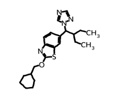 CCC(CC)C(c1ccc2nc(OCC3CCCCC3)sc2c1)n1cncn1